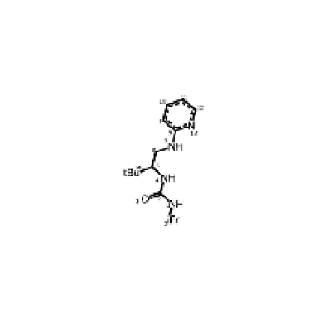 CC(C)NC(=O)N[C@H](CNc1ccccn1)C(C)(C)C